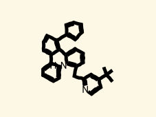 CC(C)(C)c1ccnc(Cc2cccc(-c3c(-c4ccccc4)cccc3-c3ccccc3)c2N)c1